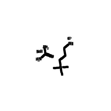 C[N+](C)(C)CCCO.NC(N)=O.[Cl-].[NaH]